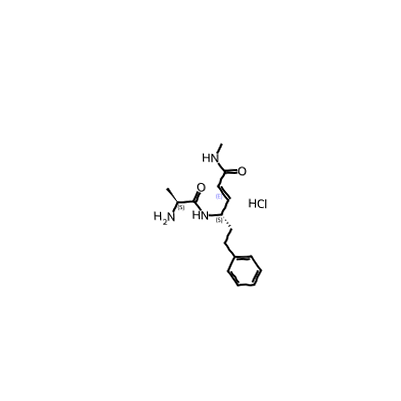 CNC(=O)/C=C/[C@H](CCc1ccccc1)NC(=O)[C@H](C)N.Cl